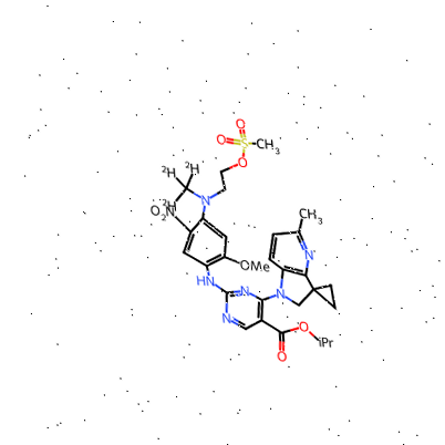 [2H]C([2H])([2H])N(CCOS(C)(=O)=O)c1cc(OC)c(Nc2ncc(C(=O)OC(C)C)c(N3CC4(CC4)c4nc(C)ccc43)n2)cc1[N+](=O)[O-]